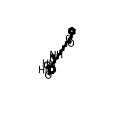 N=N/C(=C\NC1CCCC(=O)NC1=O)CCCCCCCCC(=O)OCc1ccccc1